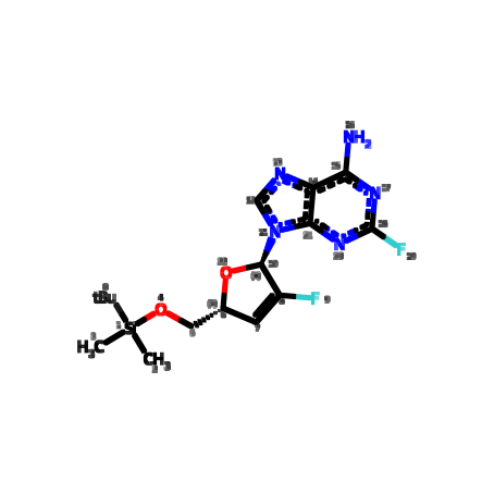 CC(C)(C)[Si](C)(C)OC[C@H]1C=C(F)[C@H](n2cnc3c(N)nc(F)nc32)O1